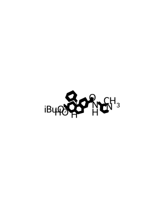 Cc1ncccc1CNC(=O)c1ccc2c(c1)CC[C@H]1C[C@@](O)(COCC(C)C)CC[C@@]21Cc1ccccc1